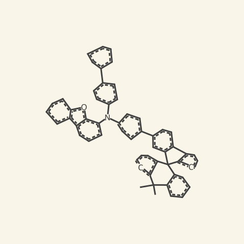 CC1(C)c2ccccc2C2(c3ccccc3-c3ccc(-c4ccc(N(c5ccc(-c6ccccc6)cc5)c5cccc6c5oc5ccccc56)cc4)cc32)c2ccccc21